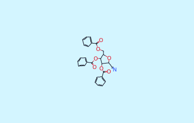 N#CC1OC(COC(=O)c2ccccc2)C(OC(=O)c2ccccc2)C1OC(=O)c1ccccc1